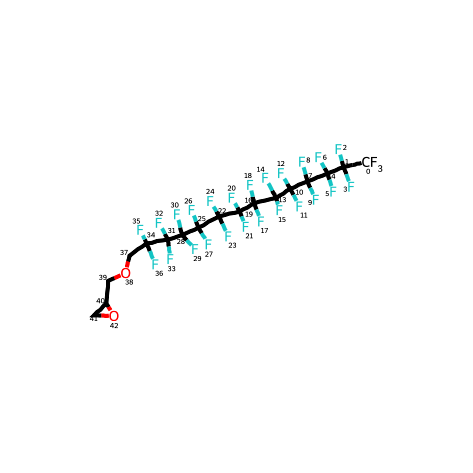 FC(F)(F)C(F)(F)C(F)(F)C(F)(F)C(F)(F)C(F)(F)C(F)(F)C(F)(F)C(F)(F)C(F)(F)C(F)(F)C(F)(F)C(F)(F)COCC1CO1